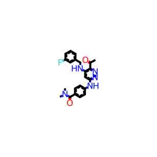 CC(=O)c1nnc(Nc2ccc(C(=O)N(C)C)cc2)cc1NCc1cccc(F)c1